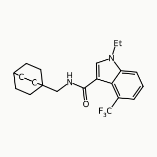 CCn1cc(C(=O)NCC23CCC(CC2)CC3)c2c(C(F)(F)F)cccc21